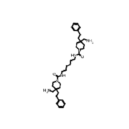 NCC1(CCc2ccccc2)CCN(C(=O)NCCCCCCNC(=O)N2CCC(CN)(CCc3ccccc3)CC2)CC1